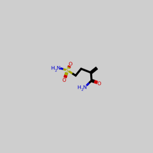 C=C(CCS(N)(=O)=O)C(N)=O